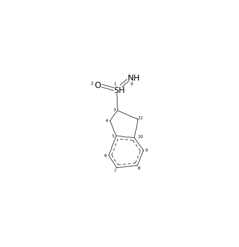 N=[SH](=O)C1Cc2ccccc2C1